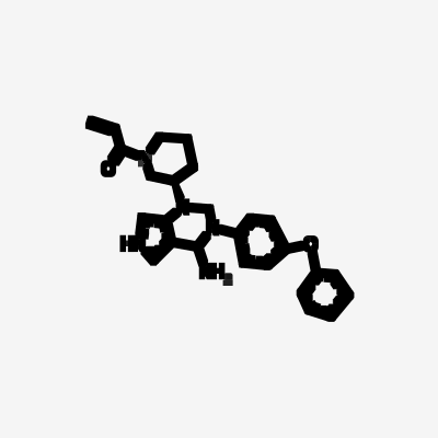 C=CC(=O)N1CCC[C@@H](N2CN(c3ccc(Oc4ccccc4)cc3)C(N)c3c[nH]cc32)C1